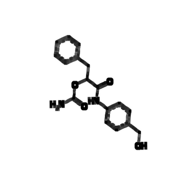 NC(=O)OC(Cc1ccccc1)C(=O)Nc1ccc(CO)cc1